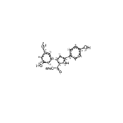 COC(=O)c1[nH]c(-c2ccc(O)cc2)cc1-c1cc(O)cc(O)c1